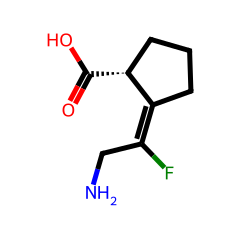 NC/C(F)=C1/CCC[C@H]1C(=O)O